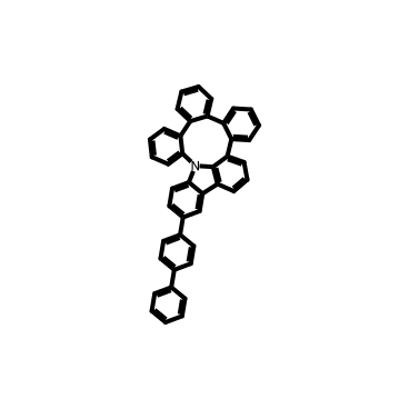 c1ccc(-c2ccc(-c3ccc4c(c3)c3cccc5c6ccccc6c6ccccc6c6ccccc6n4c53)cc2)cc1